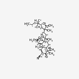 CCCC(C)(C)CC[C@@](C)(CCC(C)(C)[C@]1(C)CC[C@H]2C(C)(C)C(=O)C(C#N)=C[C@]2(C)/C1=C/C(C)=O)C(C)=O